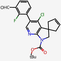 CC(C)(C)OC(=O)N1CC2(CC=CC2)c2c1ncc(-c1cccc(C=O)c1F)c2Cl